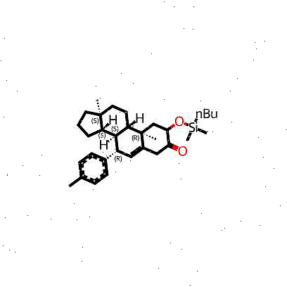 CCCC[Si](C)(C)OC1C[C@@]2(C)C(=C[C@H](c3ccc(C)cc3)[C@H]3[C@@H]4CCC[C@@]4(C)CC[C@@H]32)CC1=O